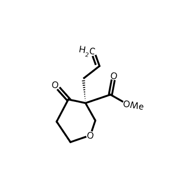 C=CC[C@]1(C(=O)OC)COCCC1=O